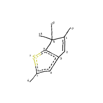 CC1=Cc2cc(C)sc2C1(C)C